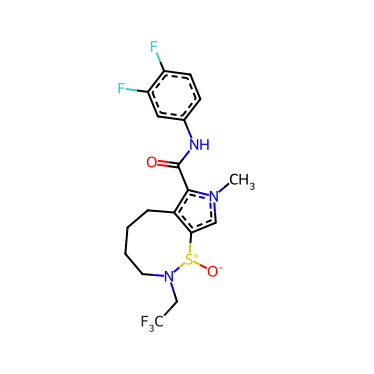 Cn1cc2c(c1C(=O)Nc1ccc(F)c(F)c1)CCCCN(CC(F)(F)F)[S+]2[O-]